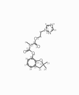 CN(C(=O)OCCn1cncn1)C(=O)Oc1cccc2c1OC(C)(C)C2